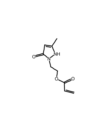 C=CC(=O)OCCn1[nH]c(C)cc1=O